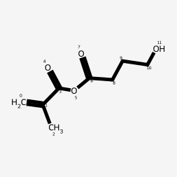 C=C(C)C(=O)OC(=O)CCCO